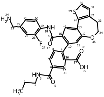 CCCNC(=O)c1ccc(-c2cc3c(cc2C(=O)Nc2ccc(CN)cc2F)-c2sccc2CCO3)c(C(=O)O)n1